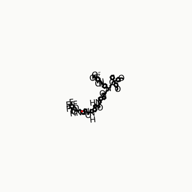 COc1ccc(C(OCCCN(CCCC(=O)n2ccc3c4c(ccc32)NC(C(=O)n2ccc3c5c(ccc32)NC(C(=O)n2ccc3c6c(ccc32)NC(C(=O)Oc2c(F)c(F)c(F)c(F)c2F)C6)C5)C4)c2ccc(N=Nc3ccc([N+](=O)[O-])cc3Cl)cc2)(c2ccccc2)c2ccc(OC)cc2)cc1